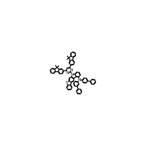 CC1(C)c2ccccc2-c2ccc(-c3cc(-c4ccc5c(c4)C(C)(C)c4ccccc4-5)nc(-n4c5cc6sc7ccccc7c6cc5c5c(N(c6ccc(-c7ccccc7)cc6)c6cccc(-c7ccccc7)c6)cccc54)n3)cc21